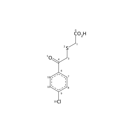 O=C(O)CSCC(=O)c1ccc(Cl)cc1